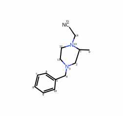 CC1CN(Cc2ccccc2)CCN1CC#N